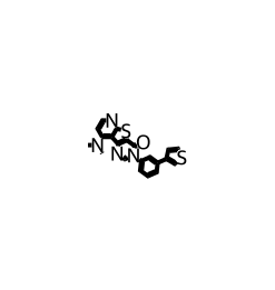 CN(C)c1ccnc2sc3c(=O)n(-c4cccc(-c5ccsc5)c4)cnc3c12